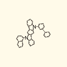 c1ccc(-c2cccc(-n3c4ccccc4c4cc5c(cc43)c3ccccc3n5-c3cccc4ccccc34)c2)cc1